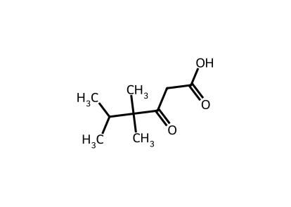 CC(C)C(C)(C)C(=O)CC(=O)O